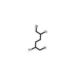 CCC(CBr)CCC(CC)CBr